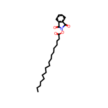 CCCCCCCCCCCCCCCCCC(=O)ON1C(=O)c2ccccc2C1=O